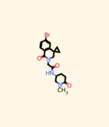 CN1C[C@H](NC(=O)CN2CC3(CC3)c3cc(Br)ccc3C2=O)CCC1=O